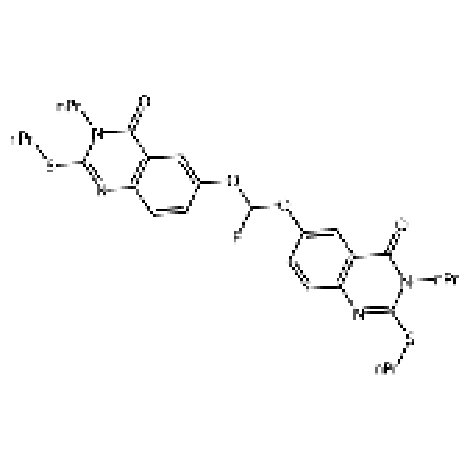 CCCSc1nc2ccc(OC(F)Oc3ccc4nc(SCCC)n(CCC)c(=O)c4c3)cc2c(=O)n1CCC